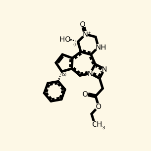 CCOC(=O)Cc1nc2c3c(c4c(cn1-2)[C@H](c1ccccc1)C=C4)[C@H](O)[N+](=O)CN3